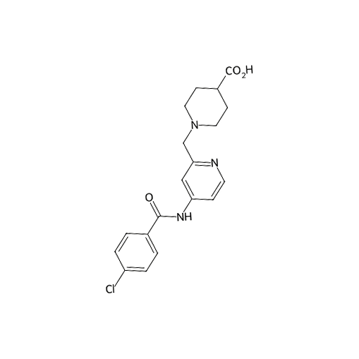 O=C(Nc1ccnc(CN2CCC(C(=O)O)CC2)c1)c1ccc(Cl)cc1